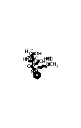 COCCCCn1c(C(=O)N(CC(C)C)[C@@H]2CNC[C@H]([C@H](C)O)C2)nc2ccccc21.Cl.Cl